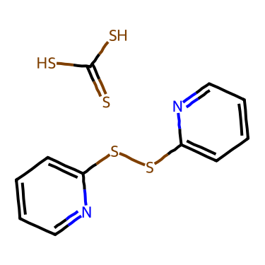 S=C(S)S.c1ccc(SSc2ccccn2)nc1